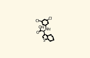 O=C(O)C(Nc1cc(Cl)cc(Cl)c1)c1csc2ccccc12